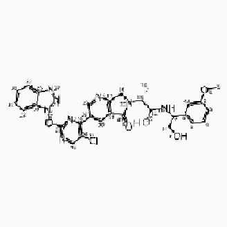 COc1cccc([C@@H](CO)NC(O)[C@@H](C)N2Cc3ncc(-c4nc(On5nnc6ccccc65)ncc4Cl)cc3C2=O)c1